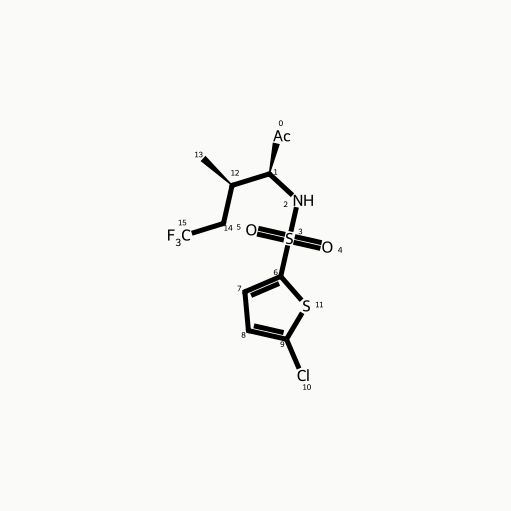 CC(=O)[C@@H](NS(=O)(=O)c1ccc(Cl)s1)[C@H](C)CC(F)(F)F